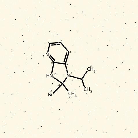 CC(C)N1c2cccnc2NC1(C)Br